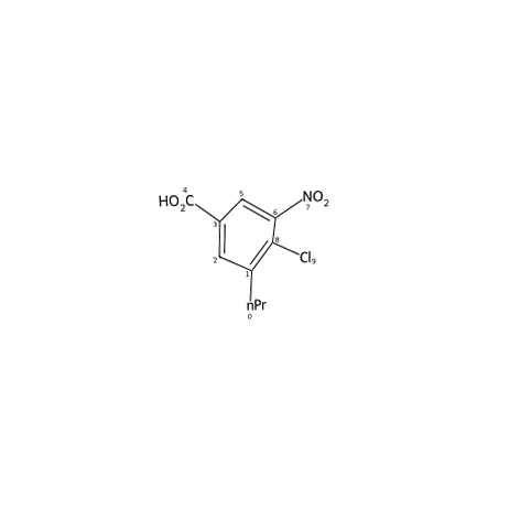 CCCc1cc(C(=O)O)cc([N+](=O)[O-])c1Cl